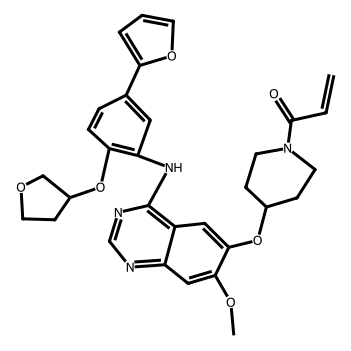 C=CC(=O)N1CCC(Oc2cc3c(Nc4cc(-c5ccco5)ccc4OC4CCOC4)ncnc3cc2OC)CC1